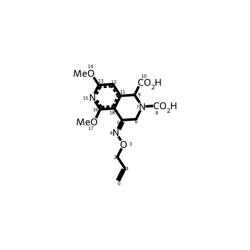 C=CCO/N=C1\CN(C(=O)O)C(C(=O)O)c2cc(OC)nc(OC)c21